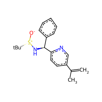 C=C(C)c1ccc([C@@H](N[S@@+]([O-])C(C)(C)C)c2ccccc2)nc1